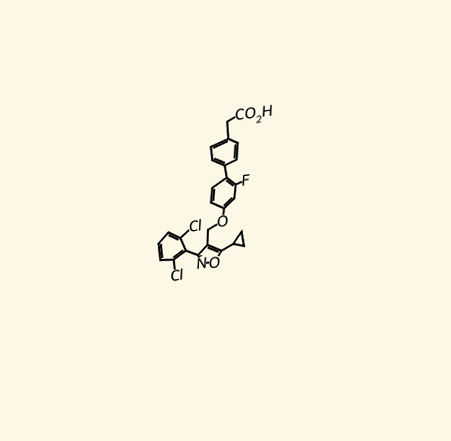 O=C(O)Cc1ccc(-c2ccc(OCc3c(-c4c(Cl)cccc4Cl)noc3C3CC3)cc2F)cc1